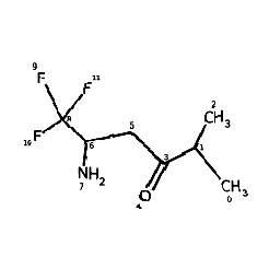 CC(C)C(=O)CC(N)C(F)(F)F